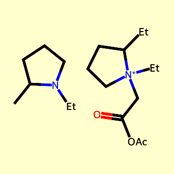 CCC1CCC[N+]1(CC)CC(=O)OC(C)=O.CCN1CCCC1C